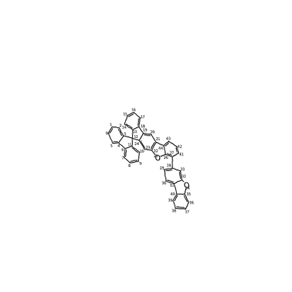 c1ccc2c(c1)-c1ccccc1C21c2ccccc2-c2cc3c(cc21)oc1c(-c2ccc4c(c2)oc2ccccc24)cccc13